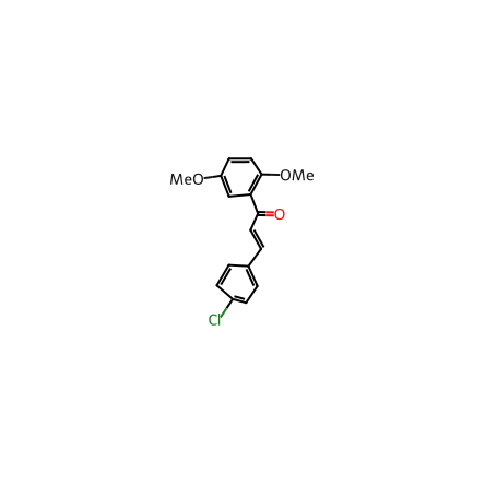 COc1ccc(OC)c(C(=O)/C=C/c2ccc(Cl)cc2)c1